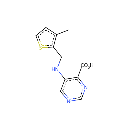 Cc1ccsc1CNc1cncnc1C(=O)O